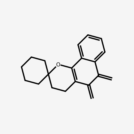 C=c1c2c(c3ccccc3c1=C)OC1(CCCCC1)CC2